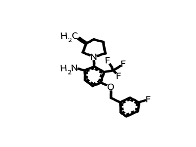 C=C1CCCN(c2c(N)ccc(OCc3cccc(F)c3)c2C(F)(F)F)C1